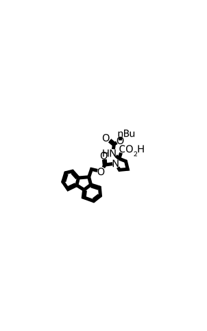 CCCCOC(=O)NC1(C(=O)O)CCCN1C(=O)OCC1c2ccccc2-c2ccccc21